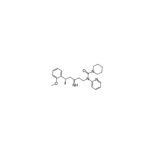 COc1ccccc1[C@H](C)CC(=N)CCN(C(=O)N1CCCCC1)c1ccccn1